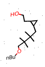 CCCCOCC(C)(C)C(C)(C)CC1CC1CCO